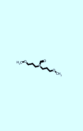 COCCCN(C=O)CCCOC